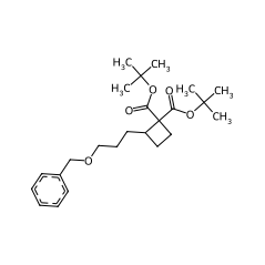 CC(C)(C)OC(=O)C1(C(=O)OC(C)(C)C)CCC1CCCOCc1ccccc1